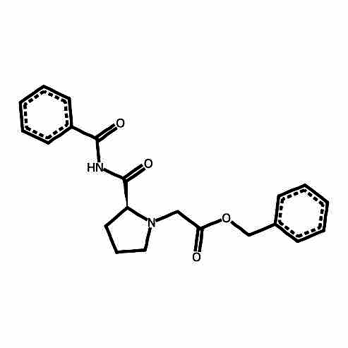 O=C(CN1CCC[C@H]1C(=O)NC(=O)c1ccccc1)OCc1ccccc1